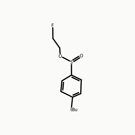 CC(C)(C)c1ccc(S(=O)OCCF)cc1